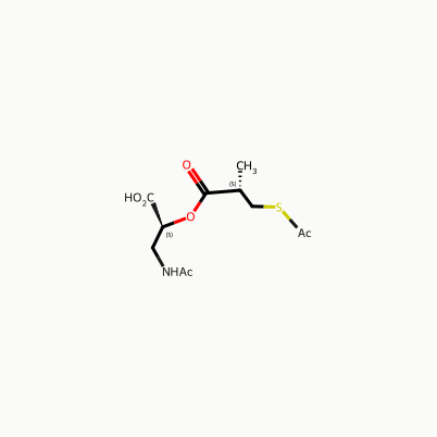 CC(=O)NC[C@H](OC(=O)[C@H](C)CSC(C)=O)C(=O)O